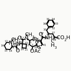 CC(=O)OC(CC(C(C)C)N(C)C(=O)C1(NC(=O)[C@H]2CCCCN2C)CCC1)c1nc(C(=O)NC(Cc2ccccc2)CC(C)C(=O)O)cs1